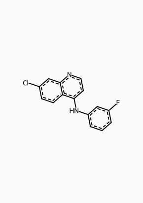 Fc1cccc(Nc2ccnc3cc(Cl)ccc23)c1